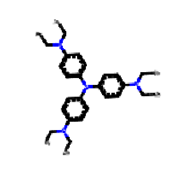 CC(C)CN(CC(C)C)c1ccc(N(c2ccc(N(CC(C)C)CC(C)C)cc2)c2ccc(N(CC(C)C)CC(C)C)cc2)cc1